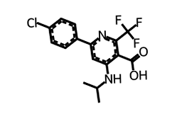 CC(C)Nc1cc(-c2ccc(Cl)cc2)nc(C(F)(F)F)c1C(=O)O